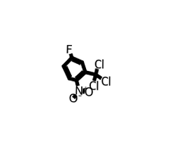 O=[N+]([O-])c1ccc(F)cc1C(Cl)(Cl)Cl